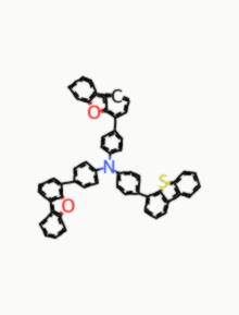 c1ccc2c(c1)oc1c(-c3ccc(N(c4ccc(-c5cccc6c5oc5ccccc56)cc4)c4ccc(-c5cccc6c5sc5ccccc56)cc4)cc3)cccc12